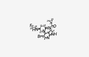 O=C(Nc1c[nH]c2ncc(Br)c(N3CCC[C@@H](NCCF)C3)c12)C1CC1